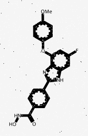 COc1ccc(Oc2cc(F)cc3[nH]c(-c4ccc(C(=O)NO)cc4)nc23)cc1